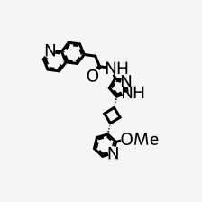 COc1ncccc1[C@H]1C[C@@H](c2cc(NC(=O)Cc3ccc4ncccc4c3)n[nH]2)C1